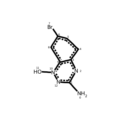 Nc1nc2ccc(Br)cc2[n+](O)n1